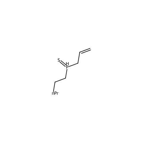 C=CC[PH](=S)CCCCC